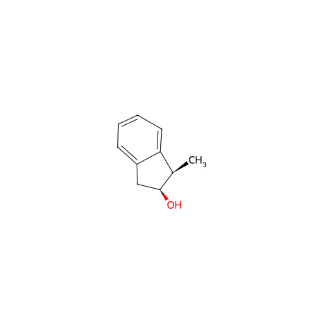 C[C@@H]1c2ccccc2C[C@@H]1O